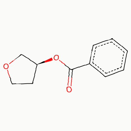 O=C(O[C@H]1CCOC1)c1ccccc1